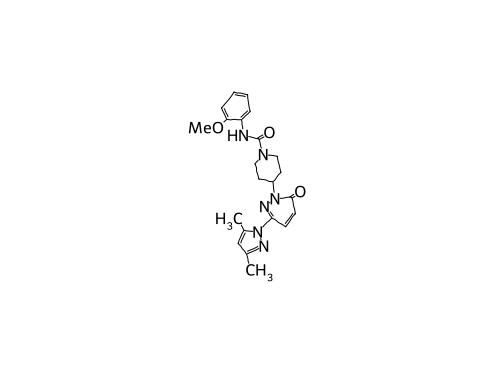 COc1ccccc1NC(=O)N1CCC(n2nc(-n3nc(C)cc3C)ccc2=O)CC1